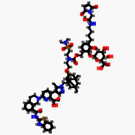 Cc1c(-c2ccc(N3CCc4cccc(C(=O)Nc5nc6ccccc6s5)c4C3)nc2C(=O)O)cnn1CC12CC3(C)CC(C)(C1)CC(OCCN(CCS(=O)(=O)N(C)C)C(=O)OCc1ccc(CCCCNC(=O)CN4C(=O)C=CC4=O)cc1OC1O[C@H](C(=O)O)[C@@H](O)[C@H](O)[C@H]1O)(C3)C2